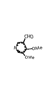 COc1cncc(C=O)c1OC